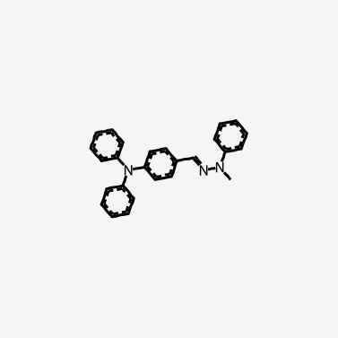 CN(/N=C/c1ccc(N(c2ccccc2)c2ccccc2)cc1)c1ccccc1